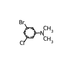 CN(C)c1cc(Cl)cc(Br)c1